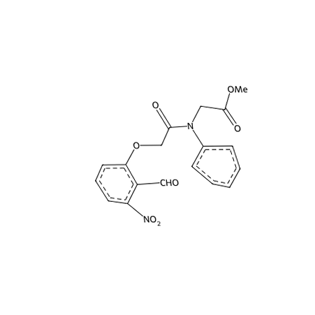 COC(=O)CN(C(=O)COc1cccc([N+](=O)[O-])c1C=O)c1ccccc1